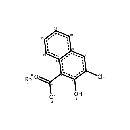 O=C([O-])c1c(O)c(Cl)cc2ccccc12.[Rb+]